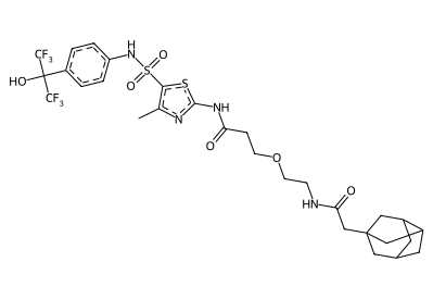 Cc1nc(NC(=O)CCOCCNC(=O)CC23CC4CC(C2)C(C4)C3)sc1S(=O)(=O)Nc1ccc(C(O)(C(F)(F)F)C(F)(F)F)cc1